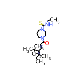 CCNC(=S)N1CCCN(C(=O)/C=C/C(=C(\C)CC)C(C)(C)C)CC1